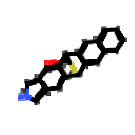 OC1SC2c3cc4ccccc4cc3C1c1cc3c[nH]cc3cc12